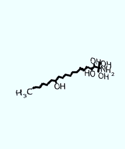 CCCCCCC(O)CCCCCCC=CCC(O)C(O)C(N)(CO)CO